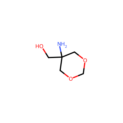 NC1(CO)COCOC1